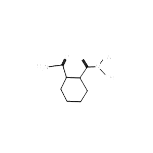 CN(C#N)C(=O)C1CCCCC1C(N)=O